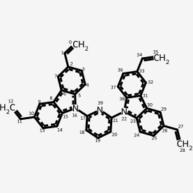 C=Cc1ccc2c(c1)c1cc(C=C)ccc1n2-c1cccc(-n2c3ccc(C=C)cc3c3cc(C=C)ccc32)n1